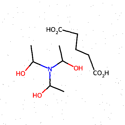 CC(O)N(C(C)O)C(C)O.O=C(O)CCCC(=O)O